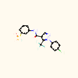 O=C(Nc1cccc(S(=O)(=O)F)c1)c1cnn(-c2ccc(Cl)cc2)c1C(F)(F)F